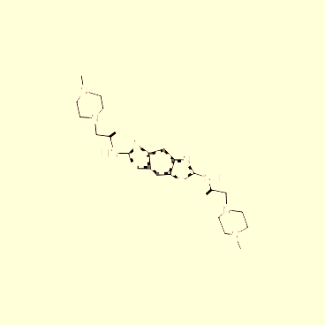 CN1CCN(CC(=O)Nc2nc3cc4nc(NC(=O)CN5CCN(C)CC5)sc4cc3s2)CC1